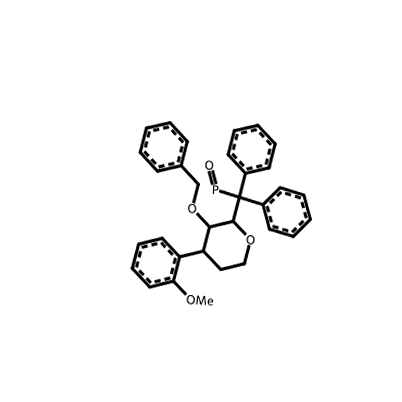 COc1ccccc1C1CCOC(C(P=O)(c2ccccc2)c2ccccc2)C1OCc1ccccc1